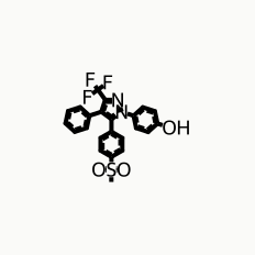 CS(=O)(=O)c1ccc(-c2c(-c3ccccc3)c(C(F)(F)F)nn2-c2ccc(O)cc2)cc1